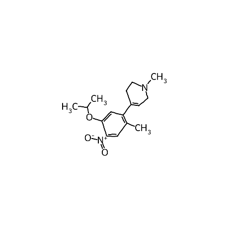 Cc1cc([N+](=O)[O-])c(OC(C)C)cc1C1=CCN(C)CC1